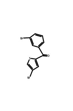 O=C(c1cccc(Br)c1)c1cc(Br)cs1